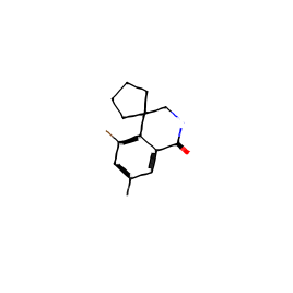 O=C(O)c1cc(Br)c2c(c1)C(=O)NCC21CCCC1